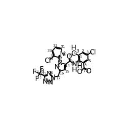 Cc1cc(Cl)cc(C(=O)O)c1NC(=O)c1cc(Cn2nnc(C(F)(F)F)n2)nn1-c1ncccc1Cl